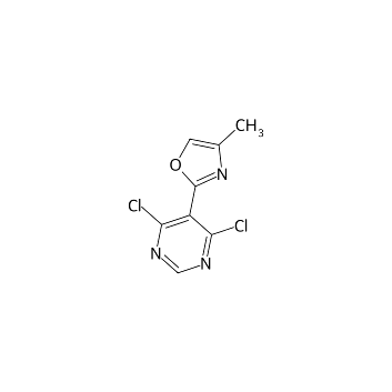 Cc1coc(-c2c(Cl)ncnc2Cl)n1